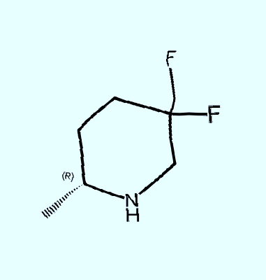 C[C@@H]1CCC(F)(F)CN1